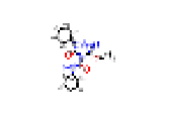 COC(=N)N(C(=O)NC1CCCCC1)C(=O)NC1CCCCC1